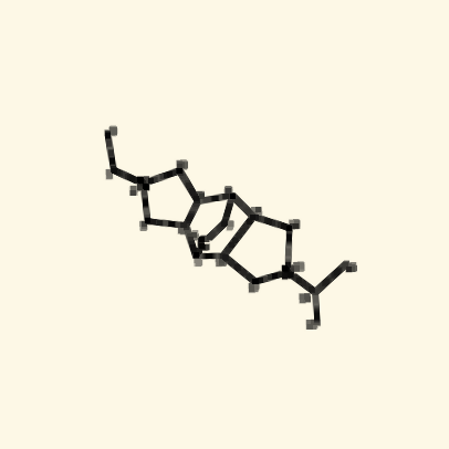 CCN1CC2C3CCC(C2C1)C1CN(C(C)C)CC31